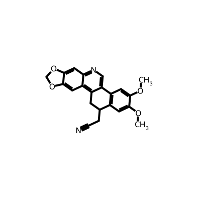 COc1cc2c(cc1OC)C(CC#N)Cc1c-2cnc2cc3c(cc12)OCO3